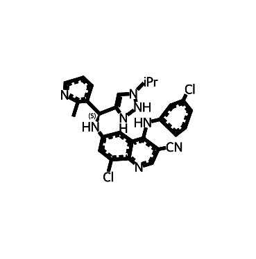 Cc1ncccc1[C@H](Nc1cc(Cl)c2ncc(C#N)c(Nc3cccc(Cl)c3)c2c1)C1=CN(C(C)C)NN1